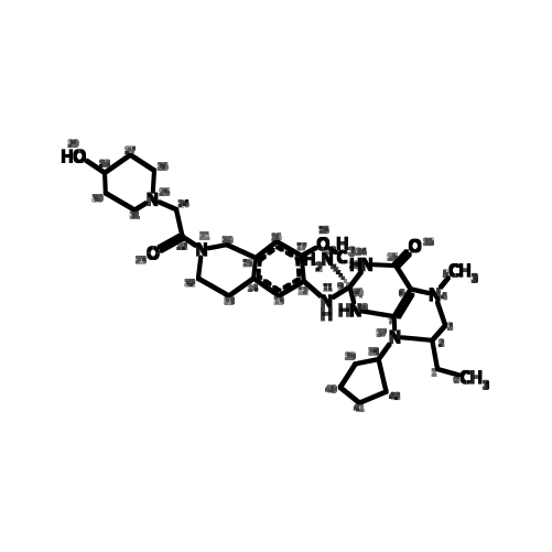 CCC1CN(C)C2=C(N[C@@](N)(Nc3cc4c(cc3OC)CN(C(=O)CN3CCC(O)CC3)CC4)NC2=O)N1C1CCCC1